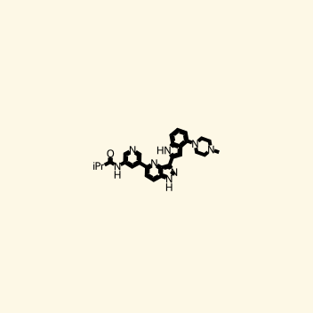 CC(C)C(=O)Nc1cncc(-c2ccc3[nH]nc(-c4cc5c(N6CCN(C)CC6)cccc5[nH]4)c3n2)c1